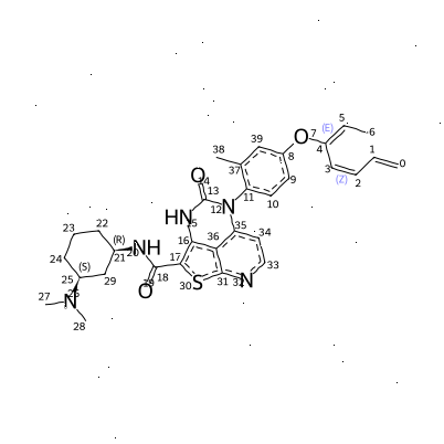 C=C/C=C\C(=C/C)Oc1ccc(N2C(=O)Nc3c(C(=O)N[C@@H]4CCC[C@H](N(C)C)C4)sc4nccc2c34)c(C)c1